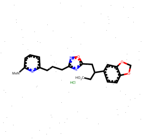 CNc1cccc(CCCc2noc(CC(CC(=O)O)c3ccc4c(c3)OCO4)n2)n1.Cl